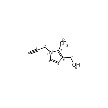 C#CCn1ccc(CO)c1C(F)(F)F